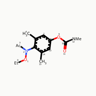 CCON(C(C)=O)c1c(C)cc(OC(=O)NC)cc1C